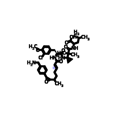 COc1ccc(C[C@@H](NC(=O)/C=C/CCC(C)C2OC2c2ccc(CN)cc2)C(=O)NC2(C(C)(C)C(=O)NC(CC(C)C)C(=O)O)CC2)cc1Cl